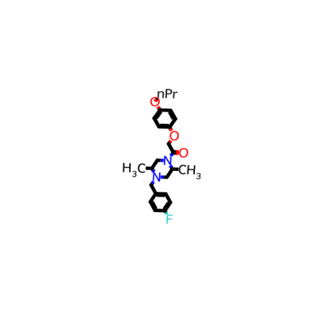 CCCOc1ccc(OCC(=O)N2CC(C)N(Cc3ccc(F)cc3)CC2C)cc1